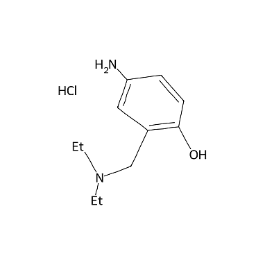 CCN(CC)Cc1cc(N)ccc1O.Cl